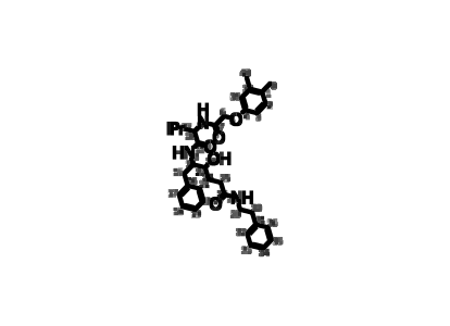 Cc1ccc(OCC(=O)NC(C(=O)NC(Cc2ccccc2)C(O)CCC(=O)NCCc2ccccc2)C(C)C)cc1C